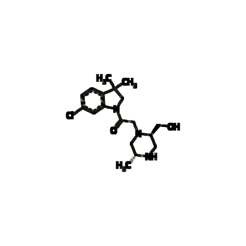 C[C@@H]1CN(CC(=O)N2CC(C)(C)c3ccc(Cl)cc32)[C@@H](CO)CN1